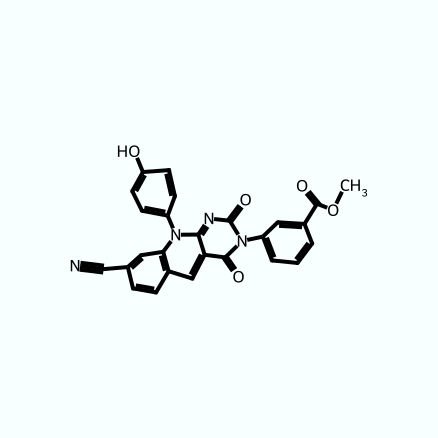 COC(=O)c1cccc(-n2c(=O)nc3n(-c4ccc(O)cc4)c4cc(C#N)ccc4cc-3c2=O)c1